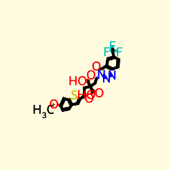 COc1ccc2cc(C(=O)CC(CCn3nnc4ccc(C(F)(F)F)cc4c3=O)(C(=O)O)C(=O)O)sc2c1